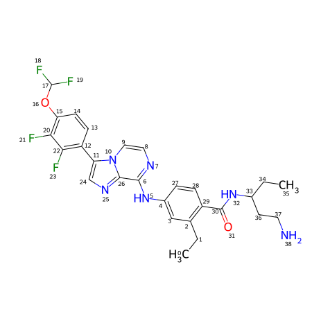 CCc1cc(Nc2nccn3c(-c4ccc(OC(F)F)c(F)c4F)cnc23)ccc1C(=O)NC(CC)CCN